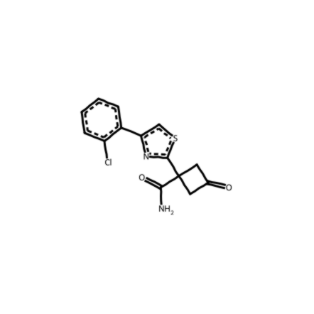 NC(=O)C1(c2nc(-c3ccccc3Cl)cs2)CC(=O)C1